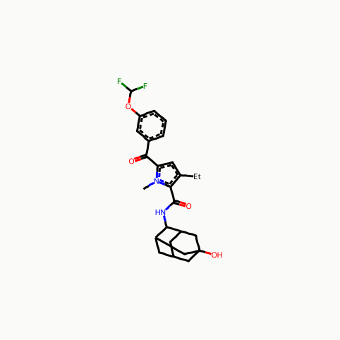 CCc1cc(C(=O)c2cccc(OC(F)F)c2)n(C)c1C(=O)NC1C2CC3CC1CC(O)(C3)C2